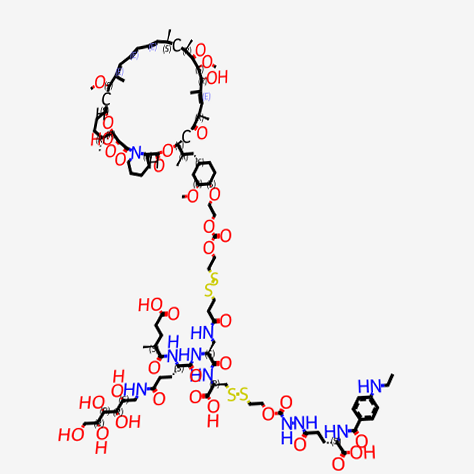 CCNc1ccc(C(=O)N[C@@H](CCC(=O)NNC(=O)OCCSSC[C@H](NC(=O)[C@H](CNC(=O)CCSSCCOC(=O)OCCO[C@H]2CC[C@@H](C[C@@H](C)[C@@H]3CC(=O)[C@H](C)/C=C(\C)[C@@H](O)[C@H](OC)C(=O)[C@H](C)C[C@H](C)/C=C/C=C/C=C(\C)[C@@H](OC)C[C@@H]4CC[C@@H](C)[C@@](O)(O4)C(=O)C(=O)N4CCCC[C@H]4C(=O)O3)C[C@H]2OC)NC(=O)[C@H](CCC(=O)NC[C@H](O)[C@@H](O)[C@H](O)[C@H](O)CO)NC(=O)[C@@H](C)CCC(=O)O)C(=O)O)C(=O)O)cc1